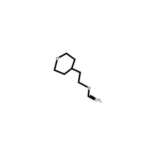 C=COCCC1CCOCC1